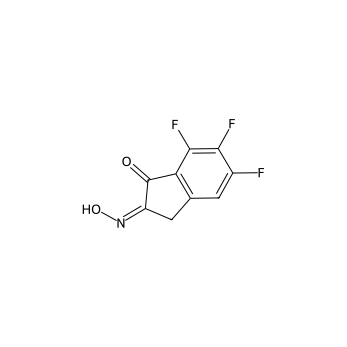 O=C1C(=NO)Cc2cc(F)c(F)c(F)c21